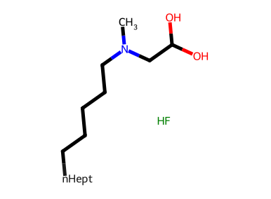 CCCCCCCCCCCCN(C)CC(O)O.F